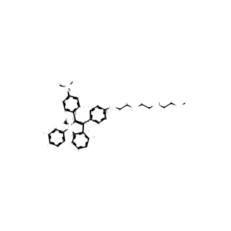 COCCOCCOCCOc1ccc(C2=C(c3ccc(N(C)C)cc3)P(=O)(c3ccccc3)c3ccccc32)cc1